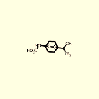 O=C(O)NC12CCC(C(O)C(F)(F)F)(CC1)OC2